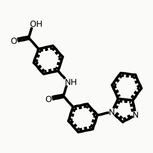 O=C(O)c1ccc(NC(=O)c2cccc(-n3cnc4ccccc43)c2)cc1